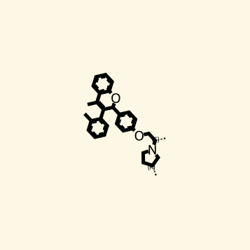 CC1=C(c2ccccc2C)C(c2ccc(OC[C@H](C)N3CC[C@@H](C)C3)cc2)Oc2ccccc21